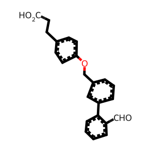 O=Cc1ccccc1-c1cccc(COc2ccc(CCC(=O)O)cc2)c1